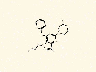 CCOCCn1nc(CC)c2nc(N3CCN[C@H](CC)C3)nc(Nc3ccccn3)c21